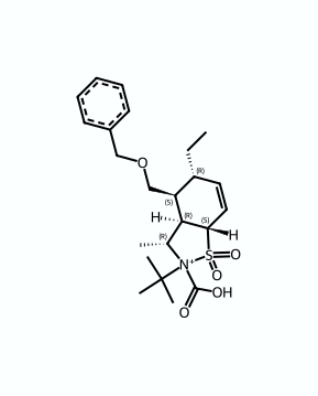 CC[C@@H]1C=C[C@H]2[C@H]([C@H]1COCc1ccccc1)[C@@H](C)[N+](C(=O)O)(C(C)(C)C)S2(=O)=O